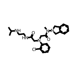 CC(C)NCCNC(=O)CN(CC(=O)N(C)N1Cc2ccccc2C1)c1ccccc1Cl